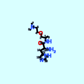 CC(COCCN(C)C)NC(=O)C(N)Cc1cnc[nH]1